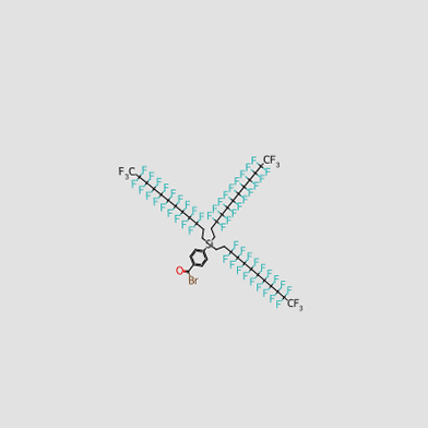 O=C(Br)c1ccc([Si](CCC(F)(F)C(F)(F)C(F)(F)C(F)(F)C(F)(F)C(F)(F)C(F)(F)C(F)(F)C(F)(F)C(F)(F)F)(CCC(F)(F)C(F)(F)C(F)(F)C(F)(F)C(F)(F)C(F)(F)C(F)(F)C(F)(F)C(F)(F)C(F)(F)F)CCC(F)(F)C(F)(F)C(F)(F)C(F)(F)C(F)(F)C(F)(F)C(F)(F)C(F)(F)C(F)(F)C(F)(F)F)cc1